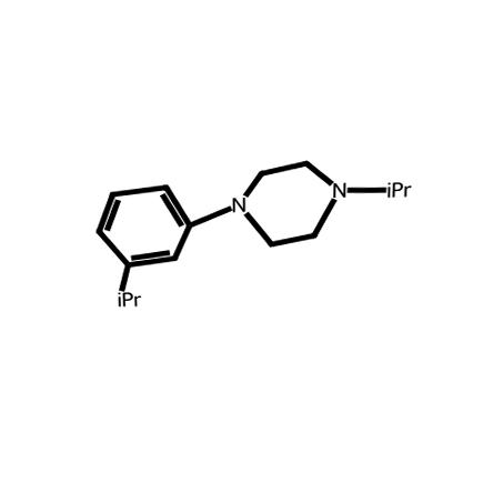 CC(C)c1cccc(N2CCN(C(C)C)CC2)c1